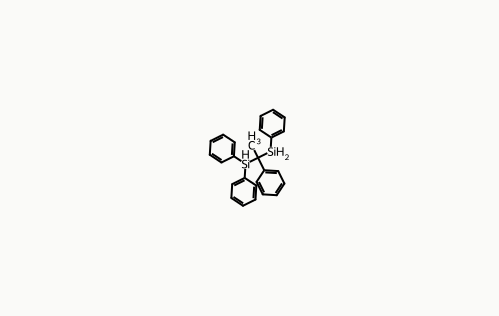 CC([SiH2]c1ccccc1)(c1ccccc1)[SiH](c1ccccc1)c1ccccc1